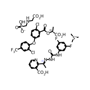 C/C(=N\NC(=O)Nc1cc(F)cc(F)c1)c1ncccc1C(=O)O.C[C@H](OC(=O)c1cc(Oc2ccc(C(F)(F)F)cc2Cl)ccc1Cl)C(=O)O.C[S+](C)C.O=C(O)CNCP(=O)([O-])O